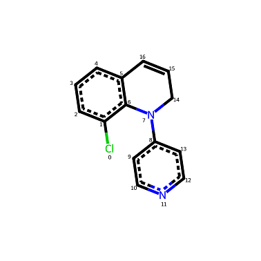 Clc1cccc2c1N(c1ccncc1)CC=C2